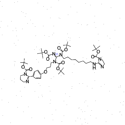 CC(C)(C)OC(=O)/N=C(/N(CCCCCCCCNC1=NCCN1C(=O)OC(C)(C)C)C(=O)OC(C)(C)C)N(CCCOc1ccc(C2=NCCCN2C(=O)OC(C)(C)C)cc1)C(=O)OC(C)(C)C